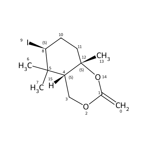 C=C1OC[C@@H]2C(C)(C)[C@@H](I)CC[C@]2(C)O1